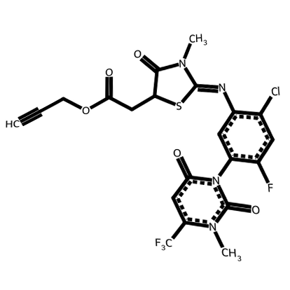 C#CCOC(=O)CC1S/C(=N\c2cc(-n3c(=O)cc(C(F)(F)F)n(C)c3=O)c(F)cc2Cl)N(C)C1=O